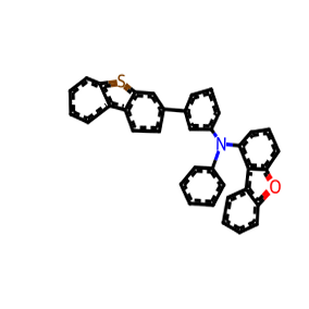 c1ccc(N(c2cccc(-c3ccc4c(c3)sc3ccccc34)c2)c2cccc3oc4ccccc4c23)cc1